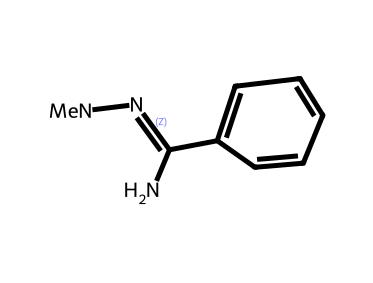 CN/N=C(\N)c1ccccc1